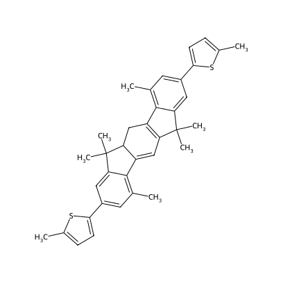 Cc1ccc(-c2cc(C)c3c(c2)C(C)(C)C2=C3CC3C(=C2)c2c(C)cc(-c4ccc(C)s4)cc2C3(C)C)s1